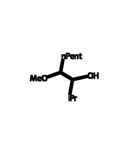 CCCCCC(OC)C(O)C(C)C